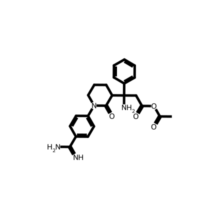 CC(=O)OC(=O)CC(N)(c1ccccc1)C1CCCN(c2ccc(C(=N)N)cc2)C1=O